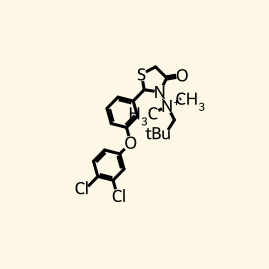 CC(C)(C)C[N+](C)(C)N1C(=O)CSC1c1cccc(Oc2ccc(Cl)c(Cl)c2)c1